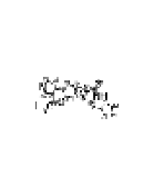 CC1Oc2cc(OC[C@H](CC3CCCC3)NC(=O)O)ccc2-c2ccncc21